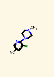 CN1CCN(c2ncc(C#N)cc2F)CC1